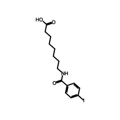 O=C(O)CCCCCCCNC(=O)c1ccc(I)cc1